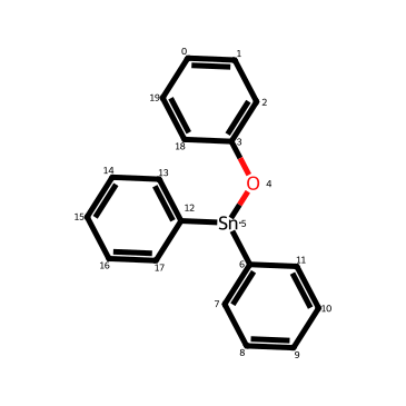 c1ccc([O][Sn]([c]2ccccc2)[c]2ccccc2)cc1